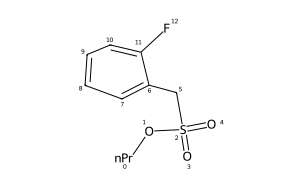 CCCOS(=O)(=O)Cc1ccccc1F